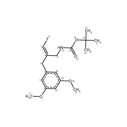 COc1cc(C/C(=C/F)CNC(=O)OC(C)(C)C)cc(OC)c1